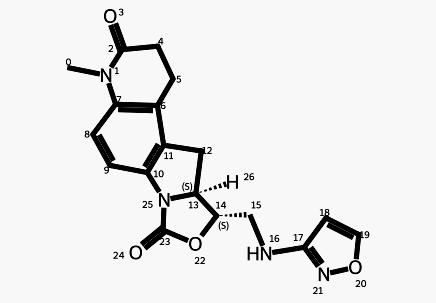 CN1C(=O)CCc2c1ccc1c2C[C@H]2[C@H](CNc3ccon3)OC(=O)N12